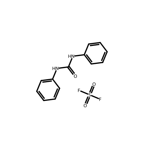 O=C(Nc1ccccc1)Nc1ccccc1.O=S(=O)(F)F